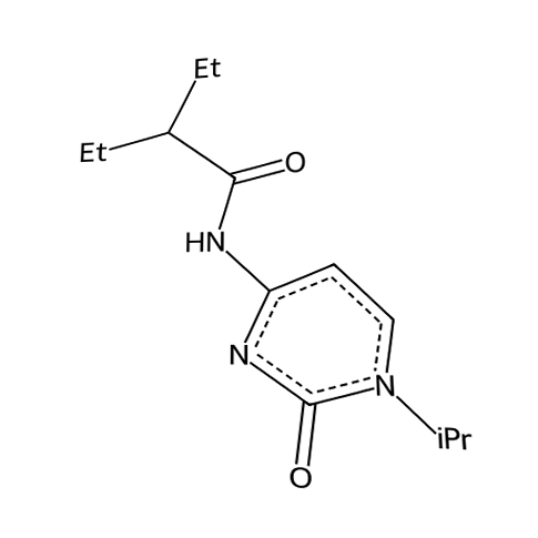 CCC(CC)C(=O)Nc1ccn(C(C)C)c(=O)n1